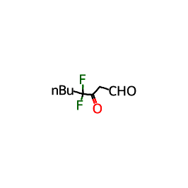 CCCCC(F)(F)C(=O)CC=O